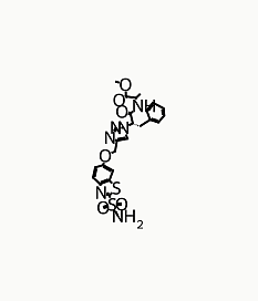 COC(=O)C(C)NC(=O)[C@H](Cc1ccccc1)n1cc(COc2ccc3nc(S(N)(=O)=O)sc3c2)nn1